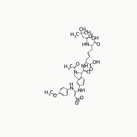 COc1ccc(NC(=C[N+](=O)[O-])Nc2ccc3c(c2)CN(C(C)=O)C3C(=O)NC(CC=CCC(NC(=O)CC(C)(C)C)C(=O)O)C(=O)O)cc1